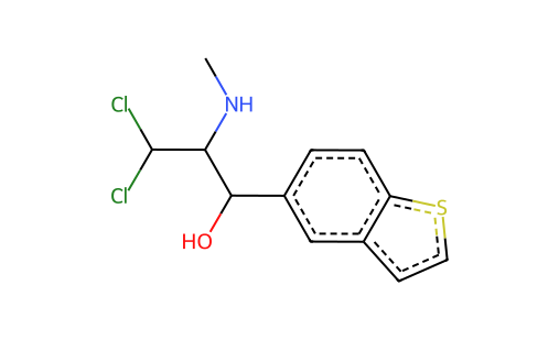 CNC(C(Cl)Cl)C(O)c1ccc2sccc2c1